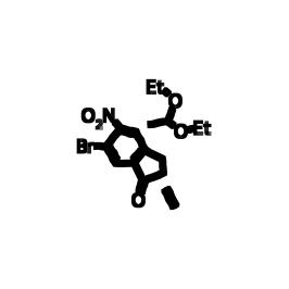 C=C.CCOC(C)OCC.O=C1CCc2cc([N+](=O)[O-])c(Br)cc21